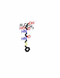 CC(C)(CO)C(O)C(=O)NCCC(=O)NCCSCc1ccccc1